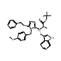 COc1ccc(Cn2c(CCc3ccccc3)nnc2[C@@H](Cc2c[nH]c3ccccc23)N(C)C(=O)OC(C)(C)C)cc1